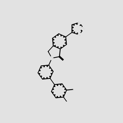 O=C1c2cc(-c3c[nH]nn3)ccc2CN1c1cccc(-c2ccc(F)c(F)c2)c1